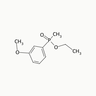 CCOP(C)(=O)c1cccc(OC)c1